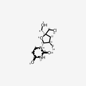 O=c1ccn([C@@H]2O[C@@](CO)(CCl)C[C@H]2F)c(=O)[nH]1